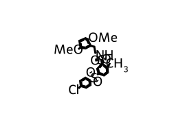 COc1ccc(OC)c(CCNS(=O)(=O)c2cc(S(=O)(=O)c3ccc(Cl)cc3)ccc2C)c1